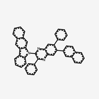 c1ccc(-c2cc3nc(-n4c5ccccc5c5cc6ccccc6cc54)c(-c4ccccc4)nc3cc2-c2ccc3ccccc3c2)cc1